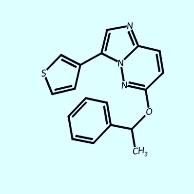 CC(Oc1ccc2ncc(-c3ccsc3)n2n1)c1ccccc1